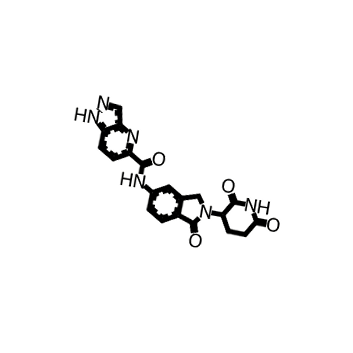 O=C1CCC(N2Cc3cc(NC(=O)c4ccc5[nH]ncc5n4)ccc3C2=O)C(=O)N1